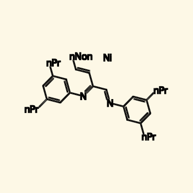 CCCCCCCCCC=CC(C=Nc1cc(CCC)cc(CCC)c1)=Nc1cc(CCC)cc(CCC)c1.[Ni]